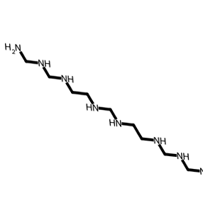 NCNCNCCNCNCCNCNCN